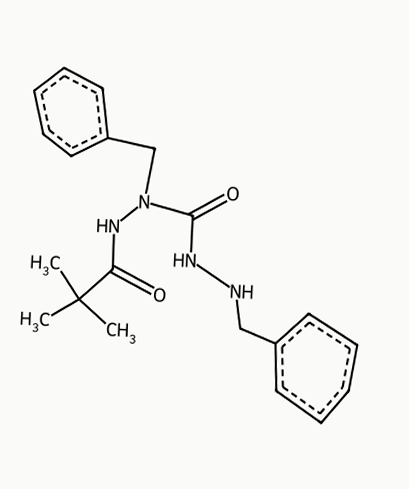 CC(C)(C)C(=O)NN(Cc1ccccc1)C(=O)NNCc1ccccc1